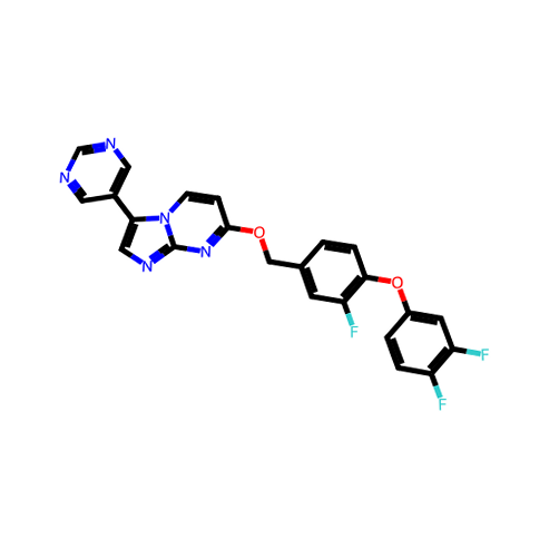 Fc1ccc(Oc2ccc(COc3ccn4c(-c5cncnc5)cnc4n3)cc2F)cc1F